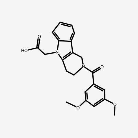 COc1cc(OC)cc(C(=O)N2CCc3c(c4ccccc4n3CC(=O)O)C2)c1